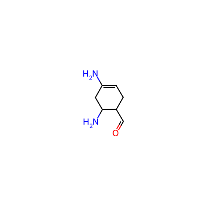 NC1=CCC(C=O)C(N)C1